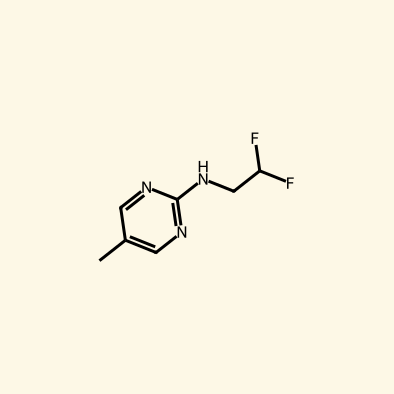 Cc1cnc(NCC(F)F)nc1